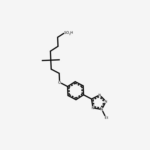 CCn1nnc(-c2ccc(OCCC(C)(C)CCCS(=O)(=O)O)cc2)n1